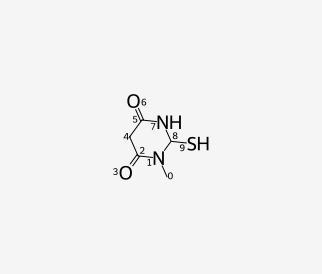 CN1C(=O)CC(=O)NC1S